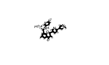 Cc1cc([C@@H](C)Nc2ccc(Cl)nc2C(=O)O)c2oc(-c3ccc(-c4cnn(C)c4)nc3)c(C)c(=O)c2c1